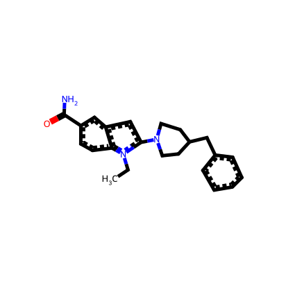 CCn1c(N2CCC(Cc3ccccc3)CC2)cc2cc(C(N)=O)ccc21